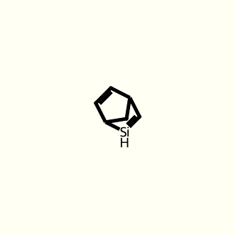 C1=CC2CC1C=[SiH]2